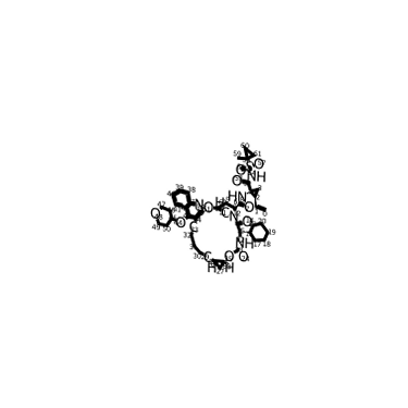 C=C[C@@H]1C[C@]1(NC(=O)[C@@H]1C[C@@H]2CN1C(=O)[C@H](C1CCCCC1)NC(=O)O[C@@H]1C[C@H]1CCCCCc1c(nc3ccccc3c1OC1CCOCC1)O2)C(=O)NS(=O)(=O)C1(C)CC1